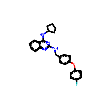 Fc1ccc(Oc2ccc(CNc3nc(NC4CCCC4)c4ccccc4n3)cc2)cc1